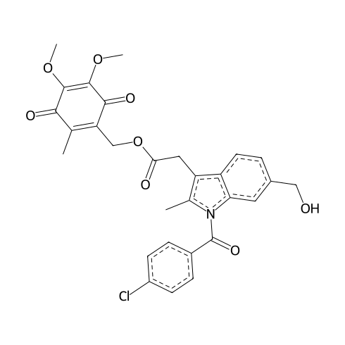 COC1=C(OC)C(=O)C(COC(=O)Cc2c(C)n(C(=O)c3ccc(Cl)cc3)c3cc(CO)ccc23)=C(C)C1=O